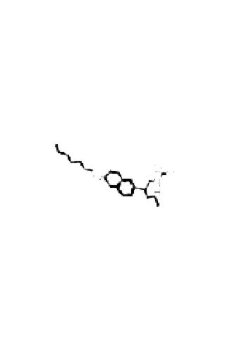 CCCCCCCOC1CCc2cc(C(CCC)CNC(=O)OC)ccc2C1